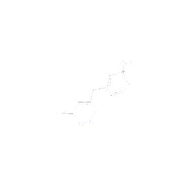 Cc1c(Cc2ccnc(N)c2F)cnnc1Cl